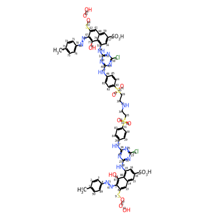 Cc1ccc(N=Nc2c(SOOO)cc3cc(S(=O)(=O)O)cc(Nc4nc(Cl)nc(Nc5ccc(S(=O)(=O)CCNCCS(=O)(=O)c6ccc(Nc7nc(Cl)nc(Nc8cc(S(=O)(=O)O)cc9cc(SOOO)c(N=Nc%10ccc(C)cc%10)c(O)c89)n7)cc6)cc5)n4)c3c2O)cc1